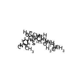 [C-]#[N+]c1ccc(N2C(=O)C(C)(C)N(c3ccc(NC(=O)NCCN(C)C)nc3)C2=S)cc1C